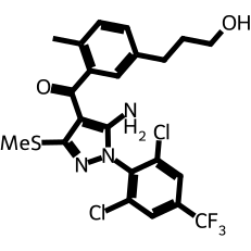 CSc1nn(-c2c(Cl)cc(C(F)(F)F)cc2Cl)c(N)c1C(=O)c1cc(CCCO)ccc1C